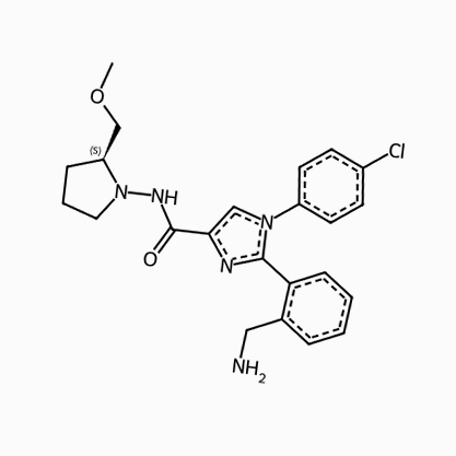 COC[C@@H]1CCCN1NC(=O)c1cn(-c2ccc(Cl)cc2)c(-c2ccccc2CN)n1